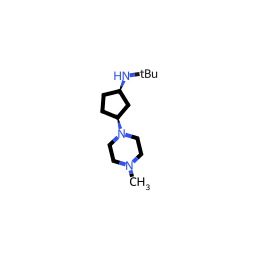 CN1CCN([C@H]2CC[C@@H](NC(C)(C)C)C2)CC1